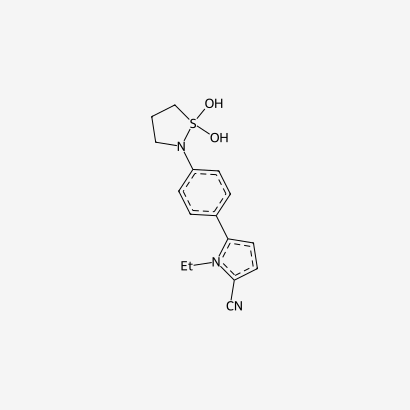 CCn1c(C#N)ccc1-c1ccc(N2CCCS2(O)O)cc1